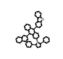 c1ccc(-c2ccc(-c3ccccc3)n2-c2ccc3c(-c4ccc5oc6ccccc6c5c4)c4ccccc4c(-c4ccc5ccccc5c4)c3c2)cc1